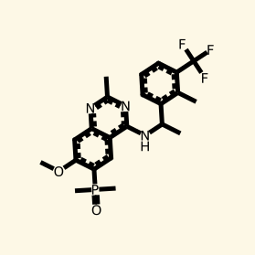 COc1cc2nc(C)nc(NC(C)c3cccc(C(F)(F)F)c3C)c2cc1P(C)(C)=O